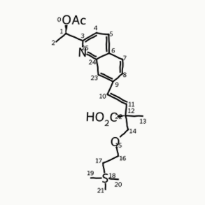 CC(=O)O[C@H](C)c1ccc2ccc(/C=C/[C@](C)(COCCS(C)(C)C)C(=O)O)cc2n1